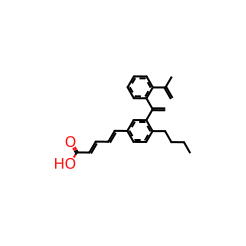 C=C(C)c1ccccc1C(=C)c1cc(/C=C/C=C/C(=O)O)ccc1CCCC